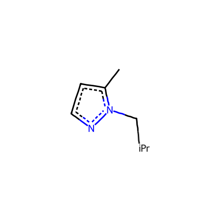 Cc1ccnn1CC(C)C